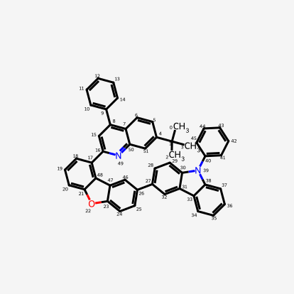 CC(C)(C)c1ccc2c(-c3ccccc3)cc(-c3cccc4oc5ccc(-c6ccc7c(c6)c6ccccc6n7-c6ccccc6)cc5c34)nc2c1